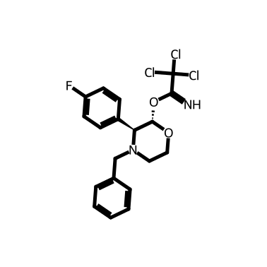 N=C(O[C@@H]1OCCN(Cc2ccccc2)[C@H]1c1ccc(F)cc1)C(Cl)(Cl)Cl